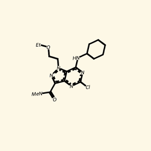 CCOCCn1nc(C(=O)NC)c2nc(Cl)nc(NC3CCCCC3)c21